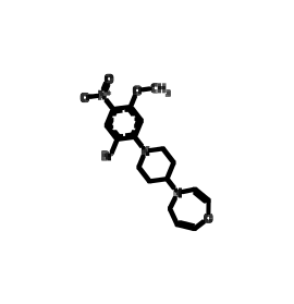 COc1cc(N2CCC(N3C=COC=CC3)CC2)c(Br)cc1[N+](=O)[O-]